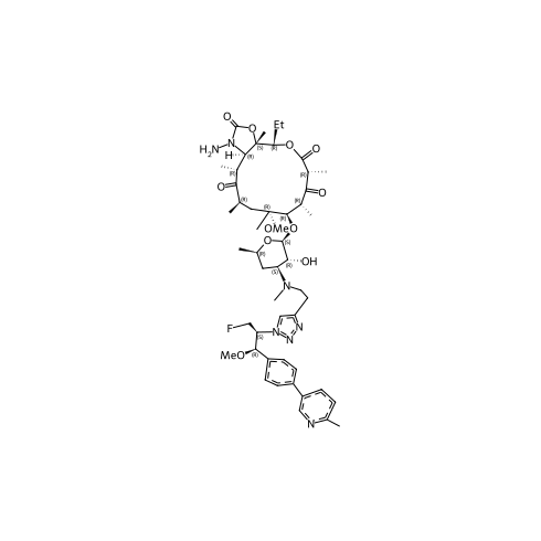 CC[C@H]1OC(=O)[C@H](C)C(=O)[C@H](C)[C@@H](O[C@@H]2O[C@H](C)C[C@H](N(C)CCc3cn([C@H](CF)[C@H](OC)c4ccc(-c5ccc(C)nc5)cc4)nn3)[C@H]2O)[C@](C)(OC)C[C@@H](C)C(=O)[C@H](C)[C@H]2N(N)C(=O)O[C@]12C